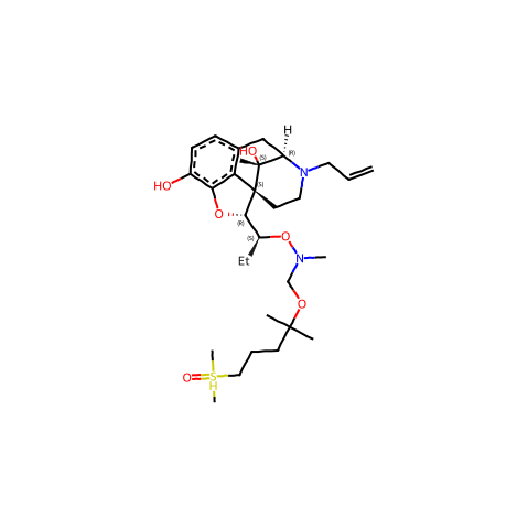 C=CCN1CC[C@]23c4c(ccc(O)c4O[C@H]2[C@H](CC)ON(C)COC(C)(C)CCC[SH](C)(C)=O)C[C@@H]1[C@@]3(C)O